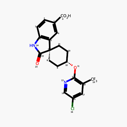 O=C(O)c1ccc2c(c1)[C@]1(CC[C@@H](Oc3ncc(Cl)cc3C(F)(F)F)CC1)C(=O)N2